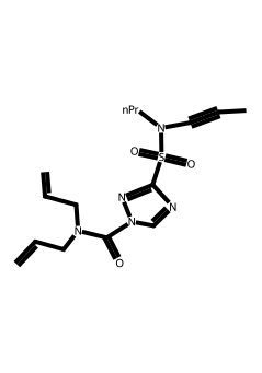 C=CCN(CC=C)C(=O)n1cnc(S(=O)(=O)N(C#CC)CCC)n1